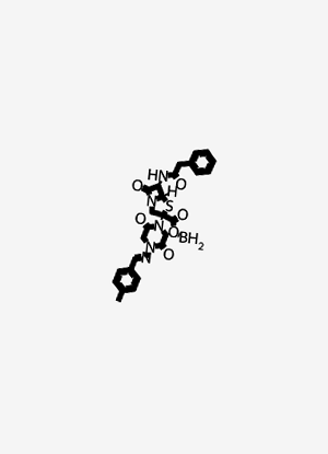 BOC(=O)[C@@]1(N2CC(=O)N(/N=C/c3ccc(C)cc3)CC2=O)CN2C(=O)[C@@H](NC(=O)Cc3ccccc3)[C@H]2S1